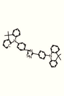 CC1(C)c2ccccc2N(c2ccc(-c3nsc(-c4ccc(N5c6ccccc6C(C)(C)c6ccccc65)cc4)n3)cc2)c2ccccc21